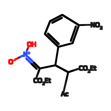 CCOC(=O)C(C(c1cccc([N+](=O)[O-])c1)C(C(C)=O)C(=O)OCC)=[N+]([O-])O